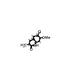 COc1cc2[nH]c(=O)c(C)cc2cc1Cl